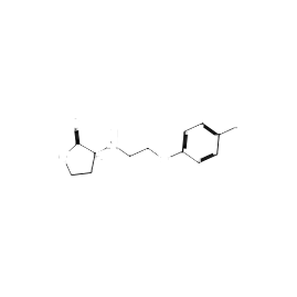 O=C1OCC[C@@H]1NCCOc1ccc(I)cc1